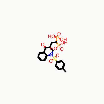 Cc1ccc(S(=O)(=O)N2CC(CC(P(=O)(O)O)P(=O)(O)O)C(=O)c3ccccc32)cc1